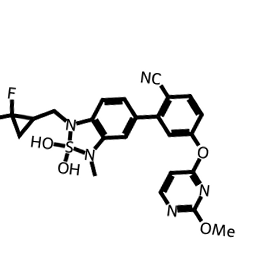 COc1nccc(Oc2ccc(C#N)c(-c3ccc4c(c3)N(C)S(O)(O)N4CC3CC3(F)F)c2)n1